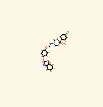 OC1(c2ccc(Cl)cc2)CCN(CCOc2ccc(Oc3nc4ccccc4o3)cc2)CC1